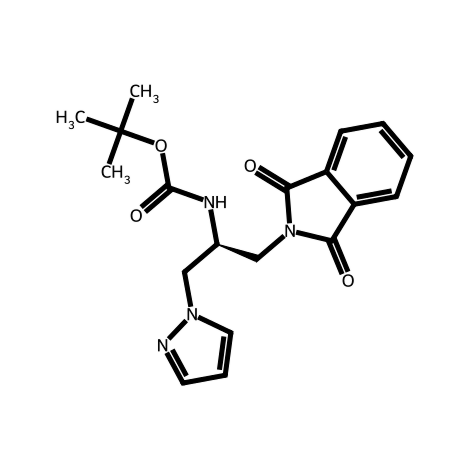 CC(C)(C)OC(=O)N[C@@H](CN1C(=O)c2ccccc2C1=O)Cn1cccn1